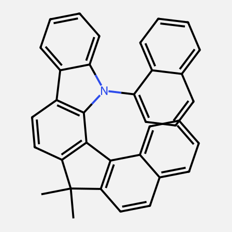 CC1(C)c2ccc3ccccc3c2-c2c1ccc1c3ccccc3n(-c3cccc4ccccc34)c21